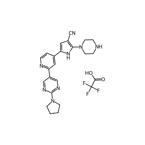 N#Cc1cc(-c2ccnc(-c3cnc(N4CCCC4)nc3)c2)[nH]c1N1CCNCC1.O=C(O)C(F)(F)F